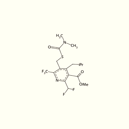 COC(=O)c1c(C(F)F)nc(C(F)(F)F)c(CSC(=O)N(C)C)c1CC(C)C